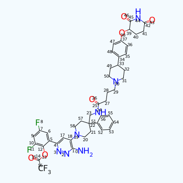 Nc1nnc(-c2cc(F)cc(F)c2OC(=O)C(F)(F)F)cc1N1CCC(CNC(=O)CCCN2CCC(c3ccc(OC4CCC(=O)NC4=O)cc3)CC2)(c2ccccc2)CC1